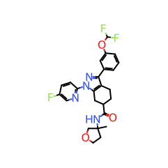 CC1(NC(=O)C2CCc3c(-c4cccc(OC(F)F)c4)nn(-c4ccc(F)cn4)c3C2)CCOC1